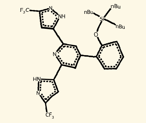 CCCC[Si](CCCC)(CCCC)Oc1ccccc1-c1cc(-c2cc(C(F)(F)F)n[nH]2)nc(-c2cc(C(F)(F)F)n[nH]2)c1